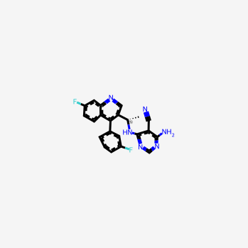 C[C@H](Nc1ncnc(N)c1C#N)c1cnc2cc(F)ccc2c1-c1cccc(F)c1